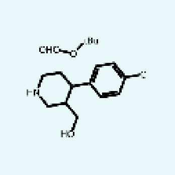 CC(C)(C)OC=O.OCC1CNCCC1c1ccc(Cl)cc1